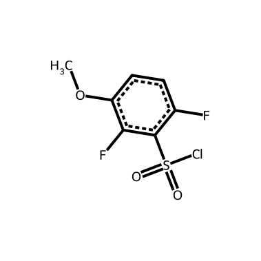 COc1ccc(F)c(S(=O)(=O)Cl)c1F